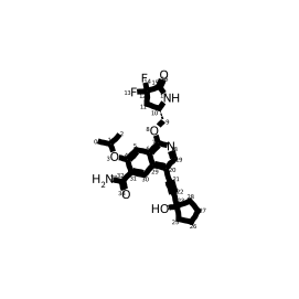 CC(C)Oc1cc2c(OC[C@@H]3CC(F)(F)C(=O)N3)ncc(C#CC3(O)CCCC3)c2cc1C(N)=O